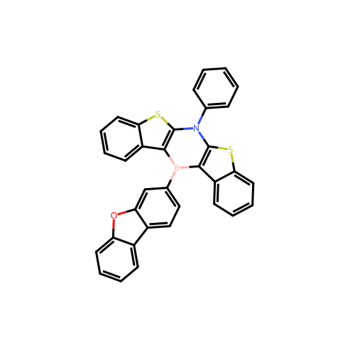 c1ccc(N2c3sc4ccccc4c3B(c3ccc4c(c3)oc3ccccc34)c3c2sc2ccccc32)cc1